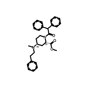 COC(=O)[C@@H]1C[C@@H](N(C)CCc2ccccc2)CCN1C(=O)C(c1ccccc1)c1ccccc1